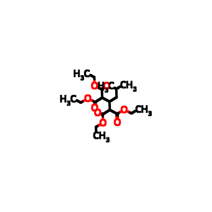 CCOC(=O)C(C(=O)OCC)C(CC(C)C)C(C(=O)OCC)C(=O)OCC